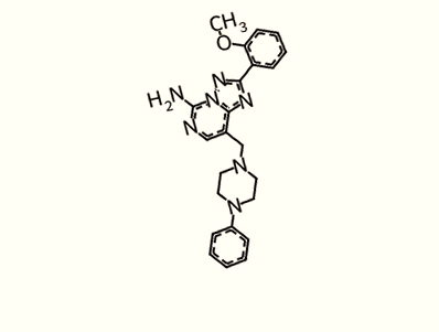 COc1ccccc1-c1nc2c(CN3CCN(c4ccccc4)CC3)cnc(N)n2n1